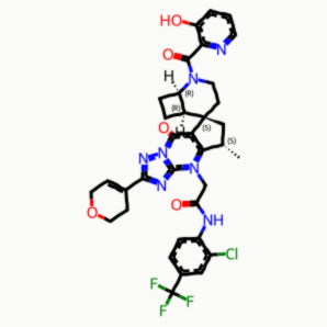 C[C@H]1C[C@@]2(CCN(C(=O)c3ncccc3O)[C@@H]3CC[C@@H]32)c2c1n(CC(=O)Nc1ccc(C(F)(F)F)cc1Cl)c1nc(C3=CCOCC3)nn1c2=O